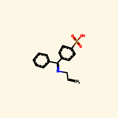 C=CC/N=C(/c1ccccc1)c1ccc(S(=O)(=O)O)cc1